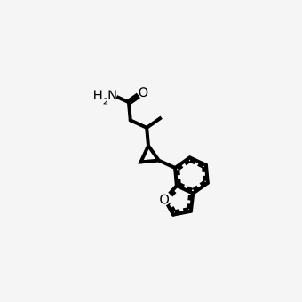 CC(CC(N)=O)C1CC1c1cccc2ccoc12